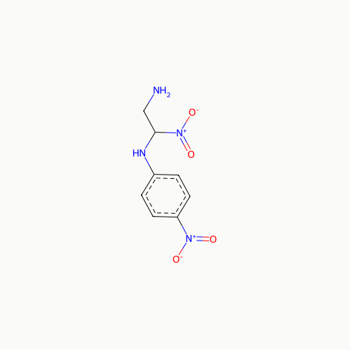 NCC(Nc1ccc([N+](=O)[O-])cc1)[N+](=O)[O-]